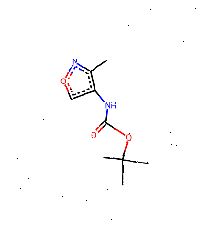 Cc1nocc1NC(=O)OC(C)(C)C